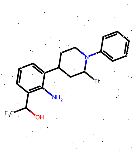 CCC1CC(c2cccc(C(O)C(F)(F)F)c2N)CCN1c1ccccc1